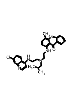 Cc1ccc(NCCN(CCNc2ccnc3cc(Cl)ccc23)CC(C)C)c2c(=O)c3ccccc3sc12